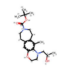 Cc1c2c(cc3c1N(C[C@@H](C)O)CCO3)CCN(C(=O)OC(C)(C)C)CC2